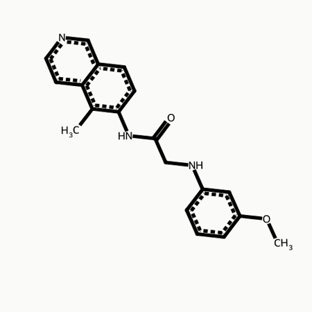 COc1cccc(NCC(=O)Nc2ccc3cnccc3c2C)c1